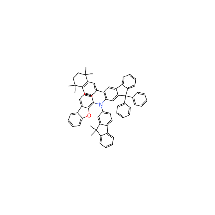 CC1(C)CCC(C)(C)c2cc(-c3cc4c(cc3N(c3ccc5c(c3)C(C)(C)c3ccccc3-5)c3cccc5c3oc3ccccc35)C(c3ccccc3)(c3ccccc3)c3ccccc3-4)ccc21